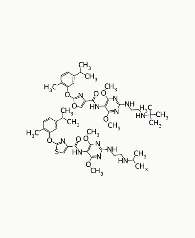 COc1nc(NCCNC(C)(C)C)nc(OC)c1NC(=O)c1coc(Oc2cc(C(C)C)ccc2C)n1.COc1nc(NCCNC(C)C)nc(OC)c1NC(=O)c1csc(Oc2cc(C(C)C)ccc2C)n1